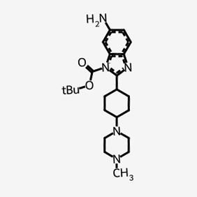 CN1CCN(C2CCC(c3nc4ccc(N)cc4n3C(=O)OC(C)(C)C)CC2)CC1